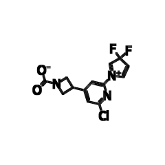 O=C([O-])N1CC(c2cc(Cl)nc([N+]3=CC(F)(F)C=C3)c2)C1